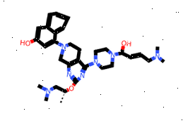 C[C@H](CN(C)C)Oc1nc2c(c(N3CCN(C(O)/C=C/CN(C)C)CC3)n1)CCN(c1cc(O)cc3ccccc13)C2